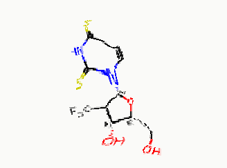 OC[C@H]1O[C@@H](n2ccc(=S)[nH]c2=S)C(C(F)(F)F)[C@H]1O